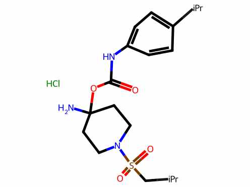 CC(C)CS(=O)(=O)N1CCC(N)(OC(=O)Nc2ccc(C(C)C)cc2)CC1.Cl